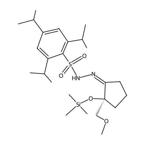 COC[C@@]1(O[Si](C)(C)C)CCCC1=NNS(=O)(=O)c1c(C(C)C)cc(C(C)C)cc1C(C)C